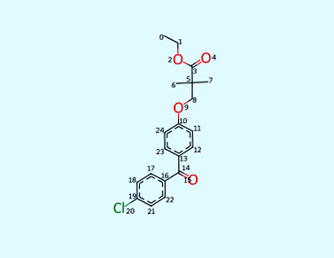 CCOC(=O)C(C)(C)COc1ccc(C(=O)c2ccc(Cl)cc2)cc1